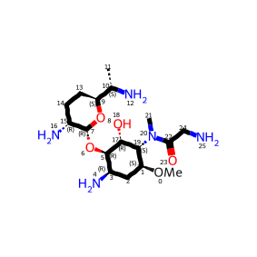 CO[C@H]1C[C@@H](N)[C@@H](O[C@H]2O[C@H]([C@H](C)N)CC[C@H]2N)[C@H](O)[C@@H]1N(C)C(=O)CN